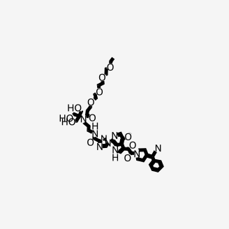 CCOCCOCCOCCOCCC(=O)N(CCCNC(=O)c1ncn(-c2ncc(OC)c3c(C(=O)C(=O)N4CCC(=C(C#N)c5ccccc5)CC4)c[nH]c23)n1)C(CO)(CO)CO